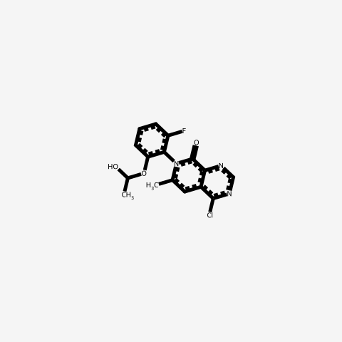 Cc1cc2c(Cl)ncnc2c(=O)n1-c1c(F)cccc1OC(C)O